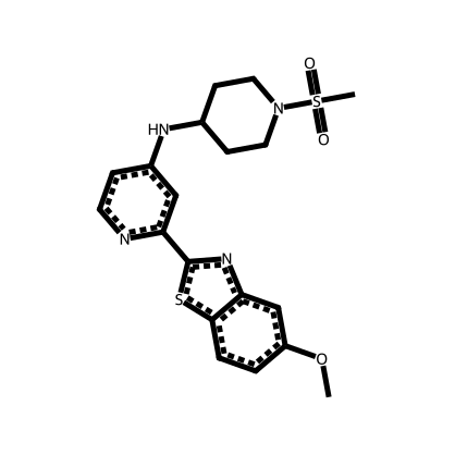 COc1ccc2sc(-c3cc(NC4CCN(S(C)(=O)=O)CC4)ccn3)nc2c1